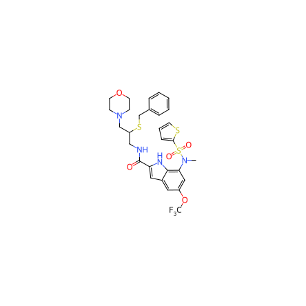 CN(c1cc(OC(F)(F)F)cc2cc(C(=O)NCC(CN3CCOCC3)SCc3ccccc3)[nH]c12)S(=O)(=O)c1cccs1